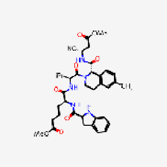 COC(=O)CCC[C@H](NC(=O)C1Cc2ccccc2N1)C(=O)N[C@H](C(=O)N1CCc2cc(C)ccc2[C@H]1C(=O)N[C@H](C#N)CC(=O)OC)C(C)C